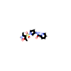 Cc1noc(C)c1S(=O)(=O)n1ccc(NC(=O)c2ccccn2)c1